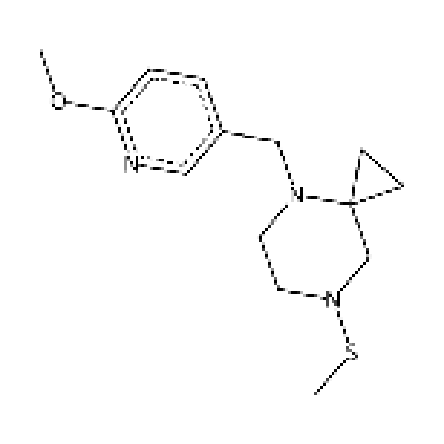 COc1ccc(CN2CCN(SC)CC23CC3)cn1